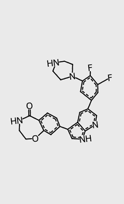 O=C1NCCOc2cc(-c3c[nH]c4ncc(-c5cc(F)c(F)c(N6CCNCC6)c5)cc34)ccc21